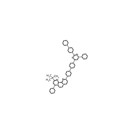 CC(C)(C)c1cc(-c2ccccc2)c2ccc3ccc(-c4ccc(-c5ccc(-c6cc(-c7ccccc7)nc(-c7ccc(-c8ccccc8)cc7)n6)cc5)cc4)nc3c2n1